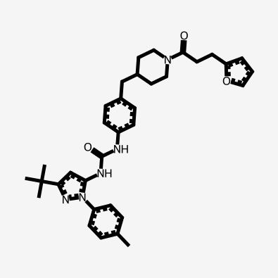 Cc1ccc(-n2nc(C(C)(C)C)cc2NC(=O)Nc2ccc(CC3CCN(C(=O)CCc4ccco4)CC3)cc2)cc1